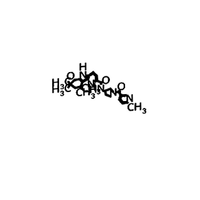 Cc1ccc(C(=O)N2CCC(NC(=O)c3ccc4[nH]c5c(c4n3)C(C)(C)CC(C)(C)C5=O)C2)cn1